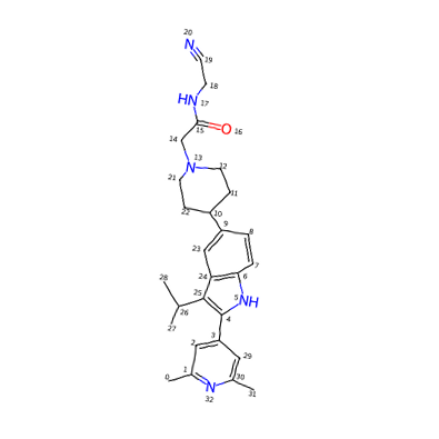 Cc1cc(-c2[nH]c3ccc(C4CCN(CC(=O)NCC#N)CC4)cc3c2C(C)C)cc(C)n1